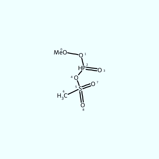 COO[PH](=O)OS(C)(=O)=O